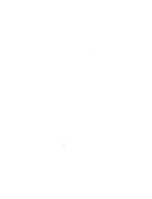 CCCCC1=CC=C(C(F)(F)F)CC1